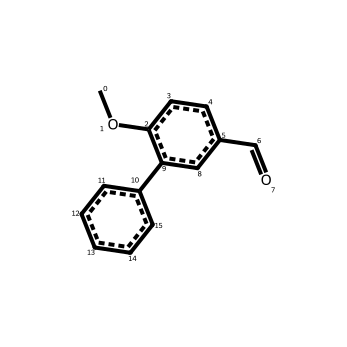 COc1ccc(C=O)cc1-c1ccccc1